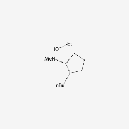 CCCCC1CCCC1NC.CCO